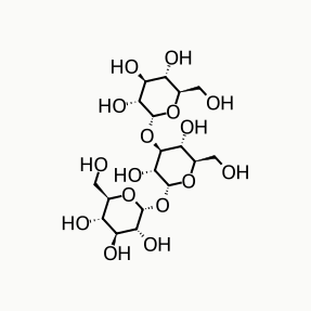 OC[C@H]1O[C@H](O[C@H]2O[C@H](CO)[C@@H](O)[C@H](O[C@H]3O[C@H](CO)[C@@H](O)[C@H](O)[C@H]3O)[C@H]2O)[C@H](O)[C@@H](O)[C@@H]1O